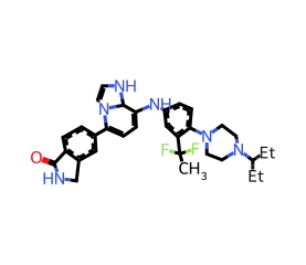 CCC(CC)N1CCN(c2ccc(NC3=CC=C(c4ccc5c(c4)CNC5=O)N4C=CNC34)cc2C(C)(F)F)CC1